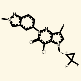 Cn1cc2cc(-n3nc4c(I)cn(C[C@@H]5CC5(F)F)c4c(Cl)c3=O)ccc2n1